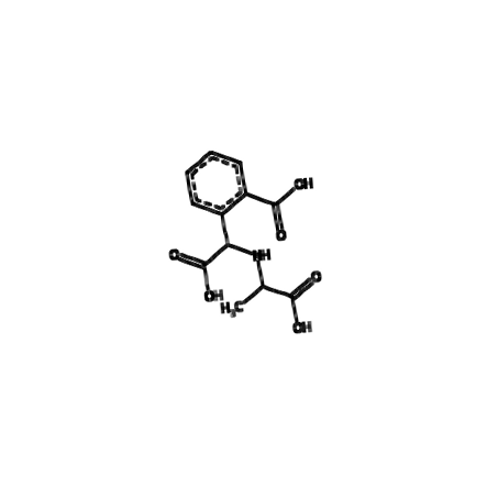 CC(NC(C(=O)O)c1ccccc1C(=O)O)C(=O)O